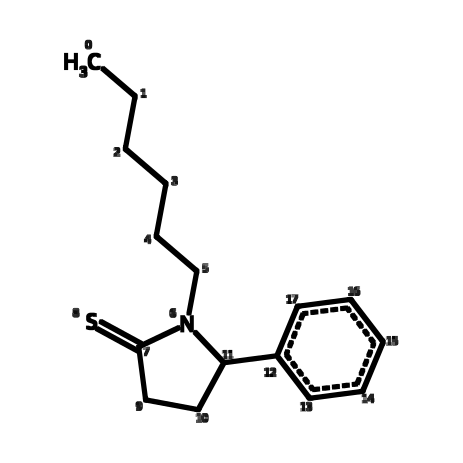 CCCCCCN1C(=S)CCC1c1ccccc1